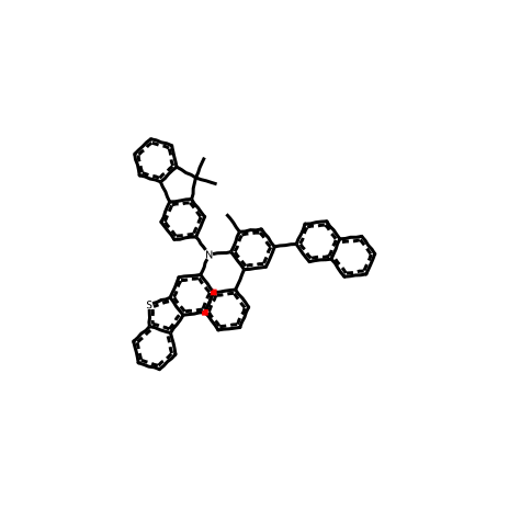 Cc1cc(-c2ccc3ccccc3c2)cc(-c2ccccc2)c1N(c1ccc2c(c1)C(C)(C)c1ccccc1-2)c1ccc2c(c1)sc1ccccc12